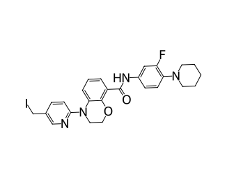 O=C(Nc1ccc(N2CCCCC2)c(F)c1)c1cccc2c1OCCN2c1ccc(CI)cn1